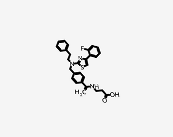 C=C(NCCC(=O)O)c1ccc(CN(CCc2ccccc2)c2nc(-c3ccccc3F)cs2)cc1